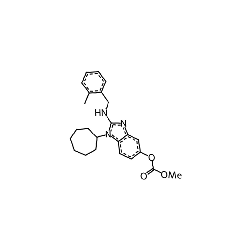 COC(=O)Oc1ccc2c(c1)nc(NCc1ccccc1C)n2C1CCCCCC1